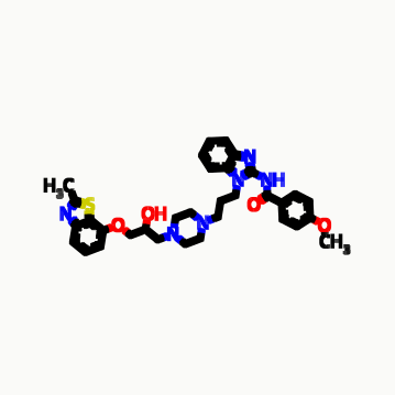 COc1ccc(C(=O)Nc2nc3ccccc3n2CCCN2CCN(CC(O)COc3cccc4nc(C)sc34)CC2)cc1